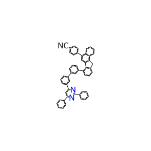 N#Cc1ccc(-c2cc3c(c4ccccc24)Cc2cccc(-c4cccc(-c5cccc(-c6cc(-c7ccccc7)nc(-c7ccccc7)n6)c5)c4)c2-3)cc1